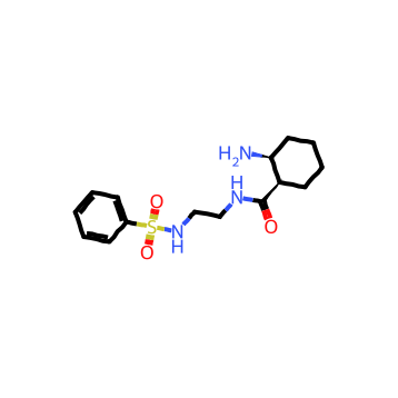 N[C@H]1CCCC[C@H]1C(=O)NCCNS(=O)(=O)c1ccccc1